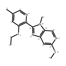 CCSc1cc(C)cnc1-c1nc2cc(SC)ncc2n1C